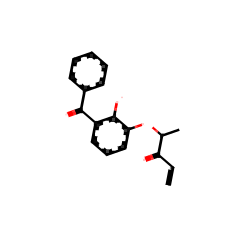 C=CC(=O)C(C)Oc1cccc(C(=O)c2ccccc2)c1O